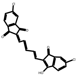 O=C1C(/C=C/C=C/C=C2/C(=O)c3ccc(Cl)cc3C2=O)=C(O)c2ccc(Cl)cc21